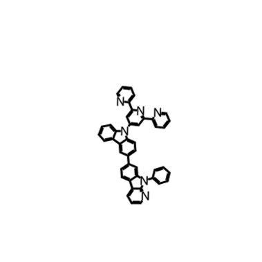 c1ccc(-n2c3cc(-c4ccc5c(c4)c4ccccc4n5-c4cc(-c5ccccn5)nc(-c5ccccn5)c4)ccc3c3cccnc32)cc1